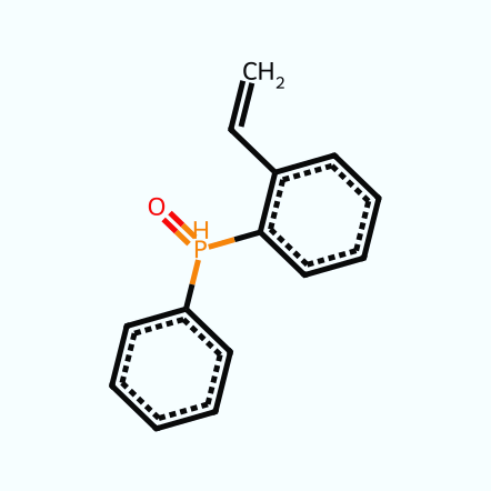 C=Cc1ccccc1[PH](=O)c1ccccc1